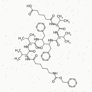 CC(C)[C@H](NC(=O)CCCCCNC(=O)OCc1ccccc1)C(=O)N[C@H](C(=O)NC(Cc1ccccc1)C(O)C(Cc1ccccc1)NC(=O)[C@@H](NC(=O)[C@@H](NC(=O)CCCCC(=O)O)C(C)C)C(C)C)C(C)C